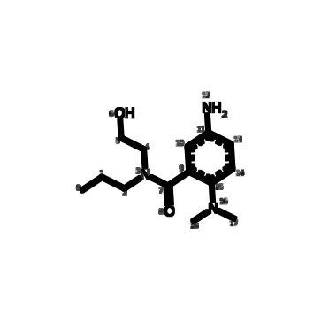 CCCN(CCO)C(=O)c1cc(N)ccc1N(C)C